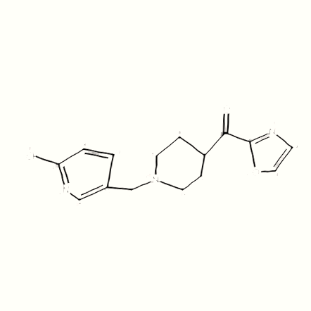 O=C(c1ncco1)C1CCN(Cc2ccc(Cl)nc2)CC1